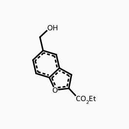 CCOC(=O)c1cc2cc(CO)ccc2o1